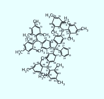 Cc1cc(C)c(B(c2ccc([Si](c3ccccc3)(c3ccc(B(c4c(C)cc(C)cc4C)c4c(C)cc(C)cc4C)cc3)c3ccc(B(c4c(C)cc(C)cc4C)c4c(C)cc(C)cc4C)cc3)cc2)c2c(C)cc(C)cc2C)c(C)c1